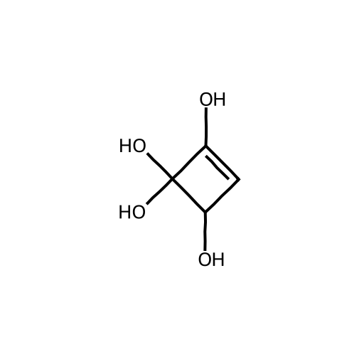 OC1=CC(O)C1(O)O